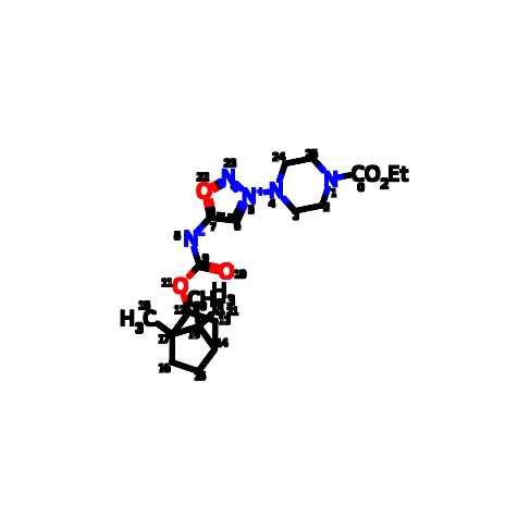 CCOC(=O)N1CCN([n+]2cc([N-]C(=O)OC3CC4CCC3(C)C4(C)C)on2)CC1